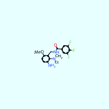 CCN(C)c1c(N)ccc(OC)c1CNC(=O)c1cc(F)c(F)c(F)c1